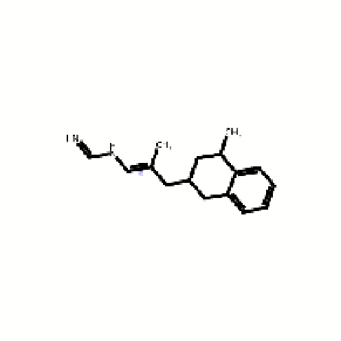 C/C(=C\NC=N)CC1Cc2ccccc2C(C)C1